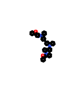 c1ccc(-n2c3oc4ccccc4c3c3cccc(-c4ccc(-n5c6ccccc6c6cc(-c7ccc8c(c7)c7ccccc7n8-c7ccc8c(c7)oc7ccccc78)ccc65)cc4)c32)cc1